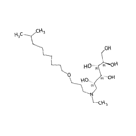 CCN(CCCOCCCCCCCC(C)C)C[C@H](O)[C@@H](O)[C@H](O)[C@H](O)CO